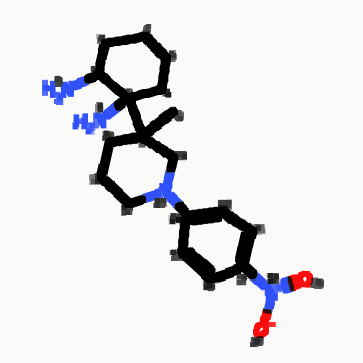 CC1(C2(N)CCCCC2N)CCCN(c2ccc([N+](=O)[O-])cc2)C1